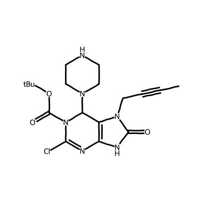 CC#CCn1c2c([nH]c1=O)N=C(Cl)N(C(=O)OC(C)(C)C)C2N1CCNCC1